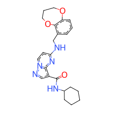 O=C(NC1CCCCC1)c1cnn2ccc(NCc3cccc4c3OCCCO4)nc12